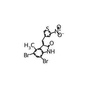 Cc1c(Br)cc(Br)c2c1C(=Cc1csc([N+](=O)[O-])c1)C(=O)N2